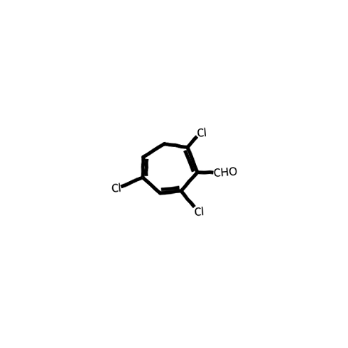 O=CC1=C(Cl)CC=C(Cl)C=C1Cl